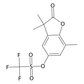 Cc1cc(OS(=O)(=O)C(F)(F)F)cc2c1OC(=O)C2(C)C